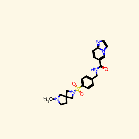 CN1CCC2(C1)CN(S(=O)(=O)c1ccc(CNC(=O)c3ccc4nccn4c3)cc1)C2